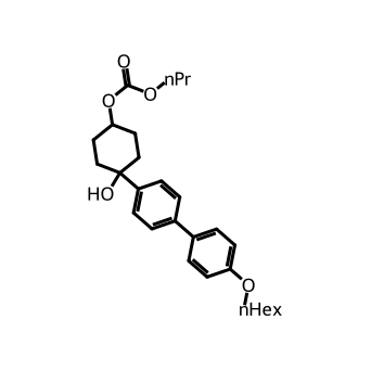 CCCCCCOc1ccc(-c2ccc(C3(O)CCC(OC(=O)OCCC)CC3)cc2)cc1